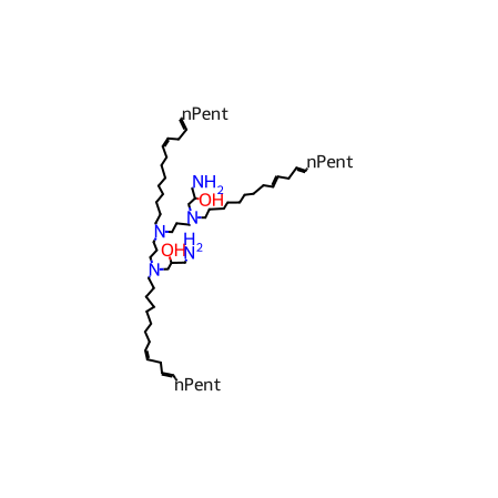 CCCCCC=CC/C=C\CCCCCCCCN(CCCN(CCCCCCCC/C=C\C/C=C/CCCCC)CCCN(CCCCCCCC/C=C/CC=CCCCCC)CC(O)CN)CC(O)CN